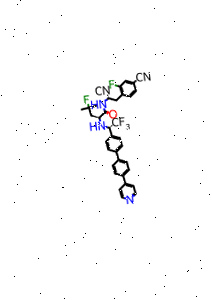 CC(C)(F)C[C@H](N[C@@H](c1ccc(-c2ccc(-c3ccncc3)cc2)cc1)C(F)(F)F)C(=O)N[C@H](C#N)Cc1ccc(C#N)cc1F